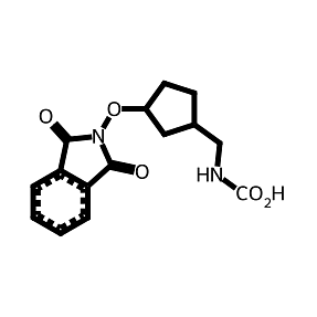 O=C(O)NCC1CCC(ON2C(=O)c3ccccc3C2=O)C1